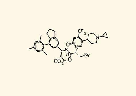 Cc1cc(C)c(-c2cc([C@H](CC(=O)O)NC(=O)[C@@H](CC(C)C)n3cc(C4CCN(C5CC5)CC4)c(C(F)(F)F)cc3=O)cc3c2CCC3)c(C)c1